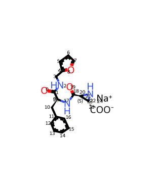 O=C(NCc1ccco1)[C@H](Cc1ccccc1)NC(=O)[C@H]1N[C@@H]1C(=O)[O-].[Na+]